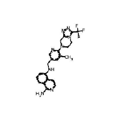 Cc1cc(CNc2cccc3c(N)nccc23)cnc1N1CCn2c(nnc2C(F)(F)F)C1